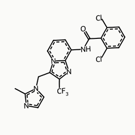 Cc1nccn1Cc1c(C(F)(F)F)nc2c(NC(=O)c3c(Cl)cccc3Cl)cccn12